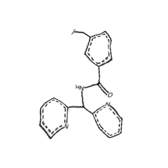 O=C(NC(c1ccccn1)c1ccccn1)c1cccc(I)c1